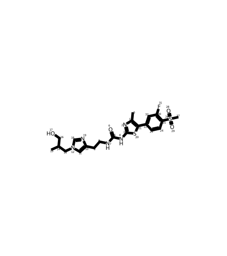 Cc1nc(NC(=O)NCCc2cn(CC(C)CO)cn2)sc1-c1ccc(S(C)(=O)=O)c(F)c1